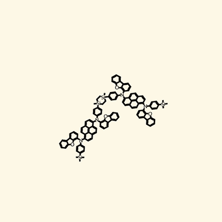 C[Si](C)(C)c1ccc(N(c2ccc3ccc4c(N(c5ccc([Si]6(C)CC[Si](C)(c7ccc(N(c8ccc9ccc%10c(N(c%11ccc([Si](C)(C)C)cc%11)c%11cccc%12c%11oc%11ccccc%11%12)ccc%11ccc8c9c%11%10)c8cccc9c8oc8ccccc89)cc7)CC6)cc5)c5cccc6c5oc5ccccc56)ccc5ccc2c3c54)c2cccc3c2oc2ccccc23)cc1